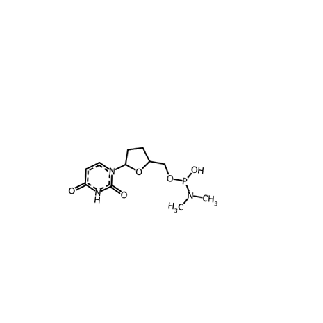 CN(C)P(O)OCC1CCC(n2ccc(=O)[nH]c2=O)O1